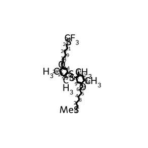 CSCCCCCCOc1cc(SSc2cc(OCCCCCCSC(F)(F)F)c(C)cc2C)c(C)cc1C